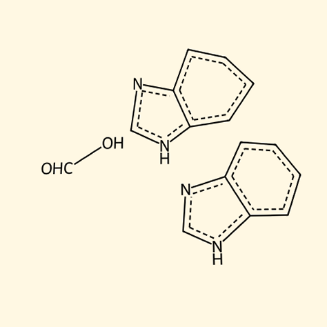 O=CO.c1ccc2[nH]cnc2c1.c1ccc2[nH]cnc2c1